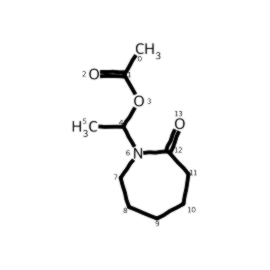 CC(=O)OC(C)N1CCCCCC1=O